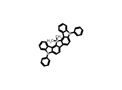 C[Si]1(C)c2c(ccc3c2c2ccccc2n3-c2ccccc2)-c2ccc3c(c21)c1ccccc1n3-c1ccccc1